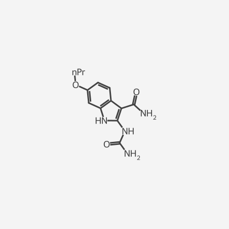 CCCOc1ccc2c(C(N)=O)c(NC(N)=O)[nH]c2c1